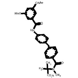 COc1cc(OC)cc(C(=O)Nc2ccc(-c3ccc(C(=O)N(C)C(C)(C)C(=O)O)cc3)cc2)c1